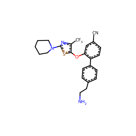 N#Cc1ccc(-c2ccc(CCN)cc2)c(Oc2sc(N3CCCCC3)nc2C(F)(F)F)c1